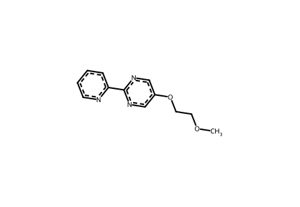 COCCOc1cnc(-c2ccccn2)nc1